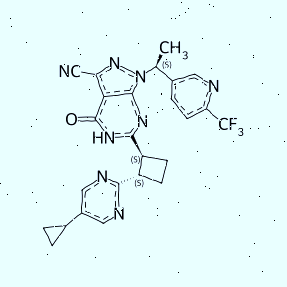 C[C@@H](c1ccc(C(F)(F)F)nc1)n1nc(C#N)c2c(=O)[nH]c([C@H]3CC[C@@H]3c3ncc(C4CC4)cn3)nc21